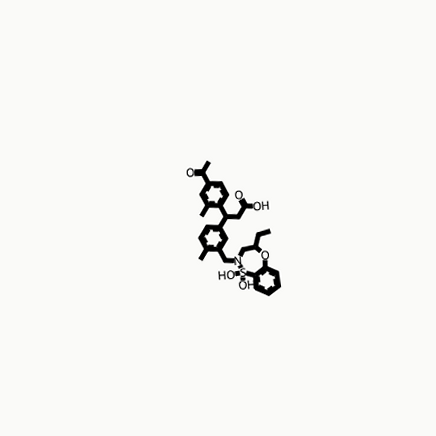 CCC1CN(Cc2cc(C(CC(=O)O)c3ccc(C(C)=O)cc3C)ccc2C)S(O)(O)c2ccccc2O1